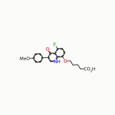 COc1ccc(-c2c[nH]c3c(OCCCCC(=O)O)ccc(F)c3c2=O)cc1